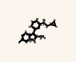 Cc1cnc2c(-c3cc(NCC4CC4)ncn3)c(N)nn2c1